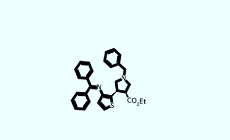 CCOC(=O)[C@@H]1CN(Cc2ccccc2)C[C@@H]1c1sccc1N=C(c1ccccc1)c1ccccc1